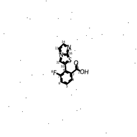 O=C(O)c1cccc(F)c1-c1cn2ccnc2s1